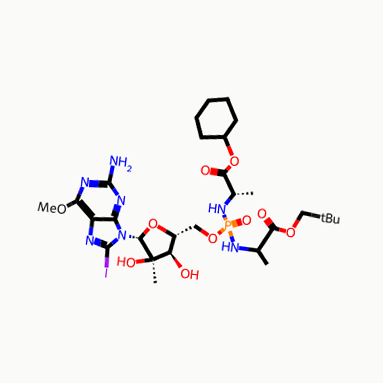 COc1nc(N)nc2c1nc(I)n2[C@@H]1O[C@H](COP(=O)(NC(C)C(=O)OCC(C)(C)C)N[C@@H](C)C(=O)OC2CCCCC2)[C@@H](O)[C@@]1(C)O